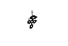 Fc1ccc(-c2c3ccccc3c(-c3ccccc3)c3ccccc23)c(F)c1